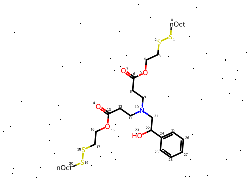 CCCCCCCCSSCCOC(=O)CCN(CCC(=O)OCCSSCCCCCCCC)CC(O)c1ccccc1